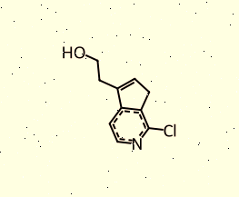 OCCC1=CCc2c1ccnc2Cl